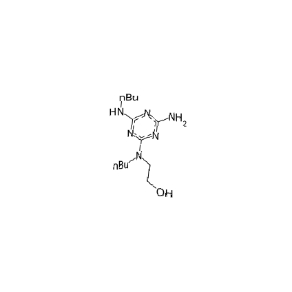 CCCCNc1nc(N)nc(N(CCO)CCCC)n1